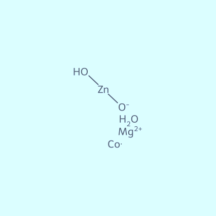 O.[Co].[Mg+2].[O-][Zn][OH]